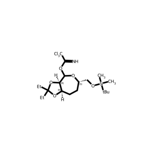 CCC1(CC)O[C@@H]2CC[C@@H](CO[Si](C)(C)C(C)(C)C)OC(OC(=N)C(Cl)(Cl)Cl)[C@@H]2O1